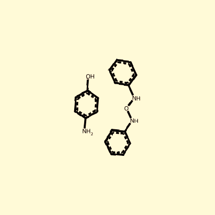 Nc1ccc(O)cc1.c1ccc(NONc2ccccc2)cc1